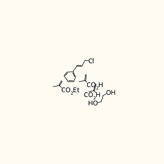 C=C(C)C(=O)O.C=C(C)C(=O)O.C=C(C)C(=O)OCC.ClCC=Cc1ccccc1.OCCO